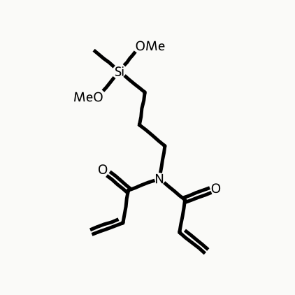 C=CC(=O)N(CCC[Si](C)(OC)OC)C(=O)C=C